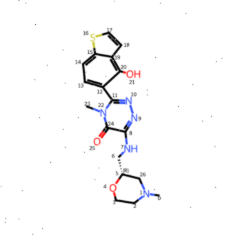 CN1CCO[C@H](CNc2nnc(-c3ccc4sccc4c3O)n(C)c2=O)C1